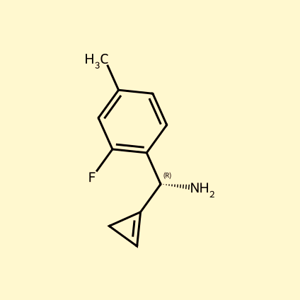 Cc1ccc([C@H](N)C2=CC2)c(F)c1